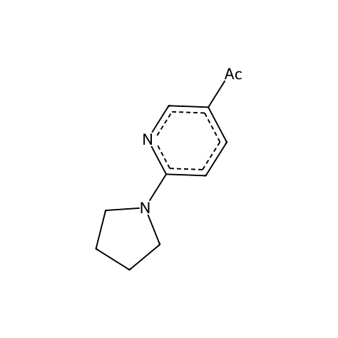 CC(=O)c1ccc(N2CCCC2)nc1